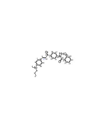 CCCN(C)c1ccc(/C=C/C(=O)c2ccc(NC(=O)c3ccccc3O)cc2)cc1